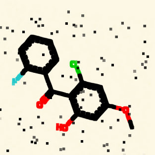 COc1cc(O)c(C(=O)c2ccccc2F)c(Cl)c1